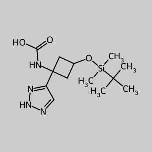 CC(C)(C)[Si](C)(C)OC1CC(NC(=O)O)(c2cn[nH]n2)C1